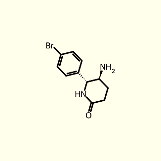 N[C@H]1CCC(=O)N[C@@H]1c1ccc(Br)cc1